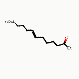 CCCCCCCCCCC/C=C/CCCCC(=O)CC